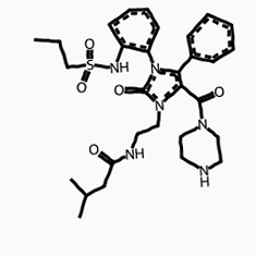 CCCS(=O)(=O)Nc1ccccc1-n1c(-c2ccccc2)c(C(=O)N2CCNCC2)n(CCNC(=O)CC(C)C)c1=O